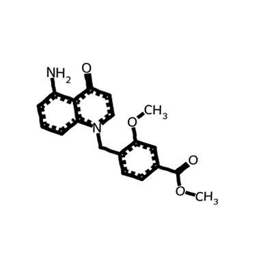 COC(=O)c1ccc(Cn2ccc(=O)c3c(N)cccc32)c(OC)c1